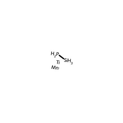 [Mn].[SiH3]P.[Ti]